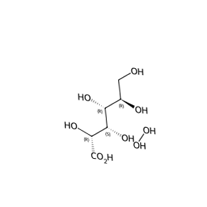 O=C(O)[C@H](O)[C@@H](O)[C@H](O)[C@H](O)CO.OO